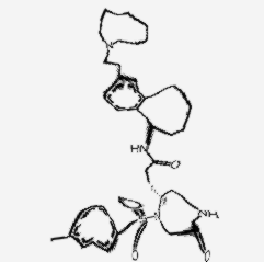 Cc1ccc(S(=O)(=O)N2CC(=O)NC[C@H]2CC(=O)NC2CCCc3cc(CN4CCCCC4)ccc32)cc1